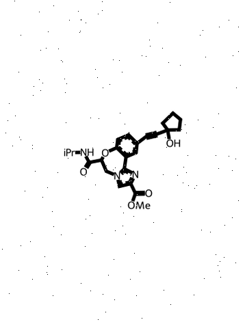 COC(=O)c1cn2c(n1)-c1cc(C#CC3(O)CCCC3)ccc1OC(C(=O)NC(C)C)C2